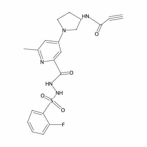 C#CC(=O)NC1CCN(c2cc(C)nc(C(=O)NNS(=O)(=O)c3ccccc3F)c2)C1